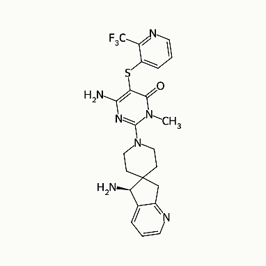 Cn1c(N2CCC3(CC2)Cc2ncccc2[C@H]3N)nc(N)c(Sc2cccnc2C(F)(F)F)c1=O